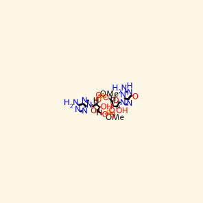 COP1(=O)OC[C@H]2O[C@@H](n3cnc4c(N)ncnc43)[C@@H](OP(=O)(OC)OC[C@H]3O[C@@H](n4cnc5c(=O)[nH]c(N)nc54)[C@@H](O)C3O1)C2O